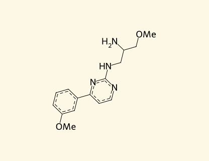 COCC(N)CNc1nccc(-c2cccc(OC)c2)n1